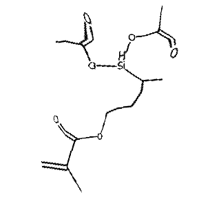 C=C(C)C(=O)OCCC(C)[SiH](OC(C)=O)OC(C)=O